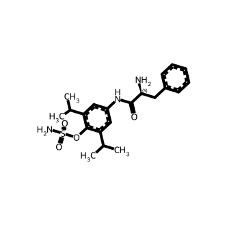 CC(C)c1cc(NC(=O)[C@@H](N)Cc2ccccc2)cc(C(C)C)c1OS(N)(=O)=O